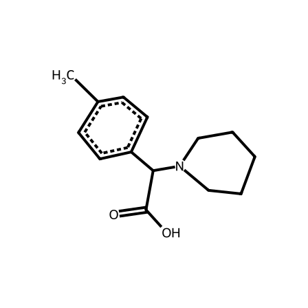 Cc1ccc(C(C(=O)O)N2CCCCC2)cc1